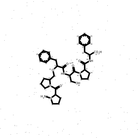 NN1CCCC1C(=O)N1CCCC1COC(Cc1ccccc1)C(=O)NC(CO)C(=O)N1CCCC1C(=O)NC(Cc1ccccc1)C(=O)O